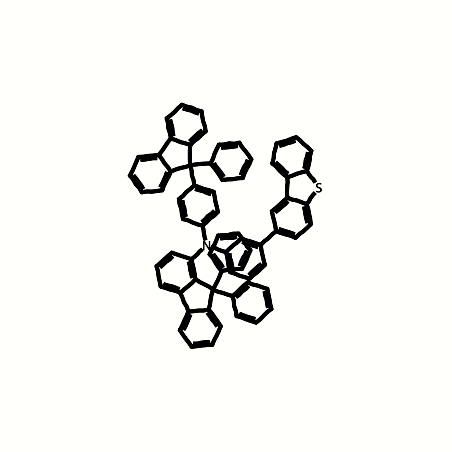 c1ccc(C2(c3ccc(N(c4cccc(-c5ccc6sc7ccccc7c6c5)c4)c4cccc5c4C(c4ccccc4)(c4ccccc4)c4ccccc4-5)cc3)c3ccccc3-c3ccccc32)cc1